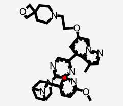 COc1ccc(CN2C3CC2CN(c2cnc(-c4cc(OCCN5CCC6(CC5)COC6)cn5ncc(C)c45)cn2)C3)cn1